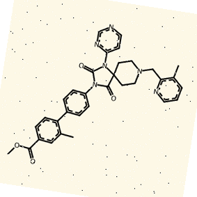 COC(=O)c1ccc(-c2ccc(N3C(=O)N(c4ccncn4)C4(CCN(Cc5ncccc5C)CC4)C3=O)cc2)c(C)c1